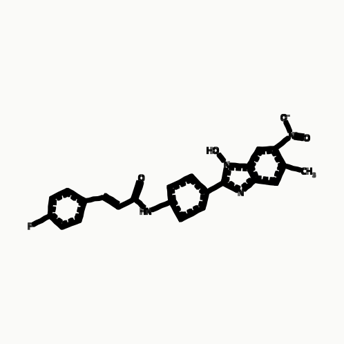 Cc1cc2nc(-c3ccc(NC(=O)C=Cc4ccc(F)cc4)cc3)n(O)c2cc1[N+](=O)[O-]